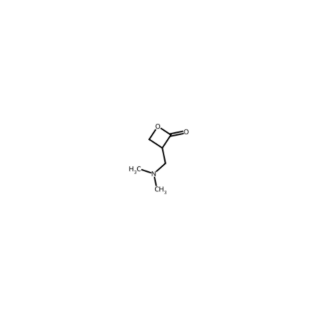 CN(C)CC1COC1=O